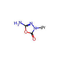 CC(C)n1nc(N)oc1=O